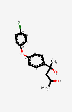 COC(=O)CC(C)(O)c1ccc(Oc2ccc(Cl)cc2)cc1